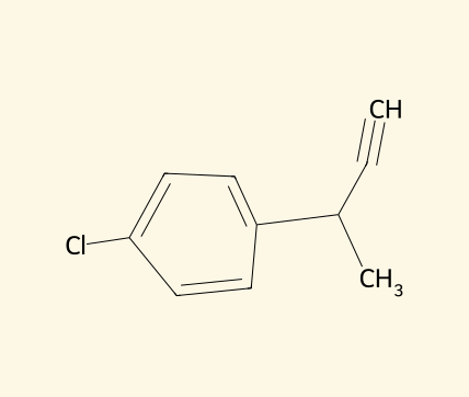 C#CC(C)c1ccc(Cl)cc1